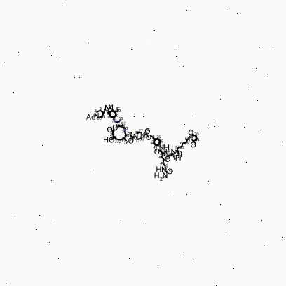 CC(=O)N1CCC(n2nnc3c(F)cc(/C=C(\C)[C@H]4OC(=O)C[C@H](O)CC[C@H](C)[C@@H](OC(=O)N5CCN(C(=O)OCc6ccc(NC(=O)[C@H](CCCCNC(N)=O)NC(=O)[C@@H](NC(=O)CCCCCN7C(=O)C=CC7=O)C(C)C)cc6)CC5)/C=C/[C@@H]4C)cc32)CC1